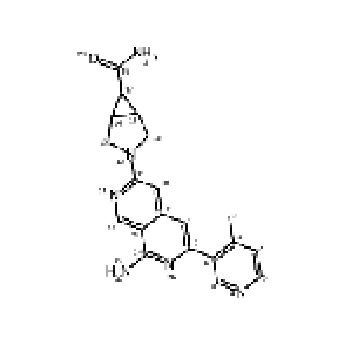 Cc1ccncc1-c1cc2cc(N3CC4C(C3)C4C(N)=O)ncc2c(N)n1